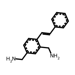 NCc1ccc(C=Cc2ccccc2)c(CN)c1